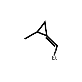 CCC=C1CC1C